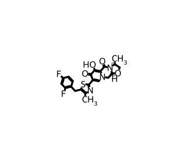 Cc1nc(-c2cn3c(c(O)c2=O)C(=O)N2[C@@H](C)CO[C@@H]2C3)sc1Cc1ccc(F)cc1F